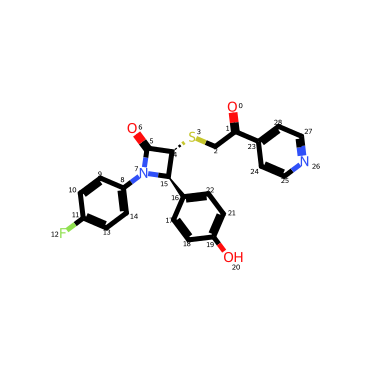 O=C(CS[C@H]1C(=O)N(c2ccc(F)cc2)[C@@H]1c1ccc(O)cc1)c1ccncc1